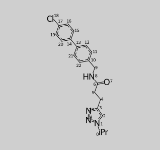 CC(C)n1cc(CCC(=O)NCc2ccc(-c3ccc(Cl)cc3)cc2)nn1